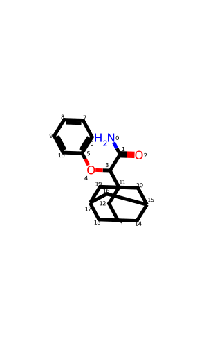 NC(=O)C(Oc1ccccc1)C12CC3CC(CC(C3)C1)C2